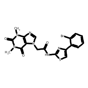 Cn1c(=O)c2c(ncn2CC(=O)Nc2nc(-c3ccccc3Br)cs2)n(C)c1=O